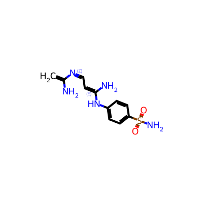 C=C(N)/N=C\C=C(/N)Nc1ccc(S(N)(=O)=O)cc1